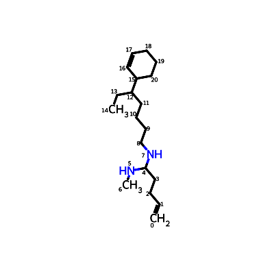 C=CCCC(NC)NCCCCC(CC)C1C=CCCC1